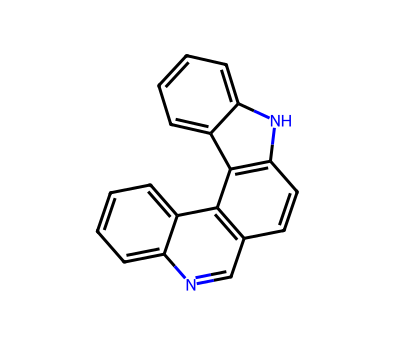 c1ccc2c(c1)ncc1ccc3[nH]c4ccccc4c3c12